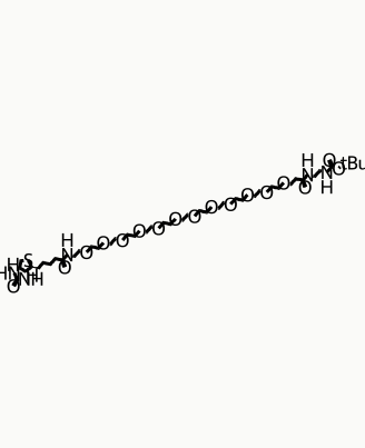 CC(C)(C)OC(=O)NCCNC(=O)CCOCCOCCOCCOCCOCCOCCOCCOCCOCCOCCOCCOCCNC(=O)CCCC[C@@H]1SC[C@@H]2NC(=O)N[C@@H]21